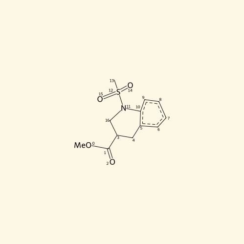 COC(=O)C1Cc2ccccc2N(S(C)(=O)=O)C1